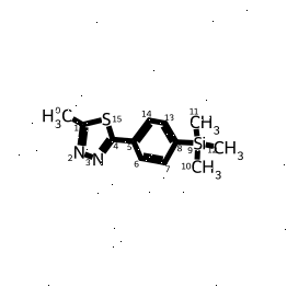 Cc1nnc(-c2ccc([Si](C)(C)C)cc2)s1